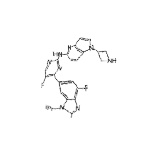 Cc1nc2c(F)cc(-c3nc(Nc4ccc5c(ccn5C5CNC5)n4)ncc3F)cc2n1C(C)C